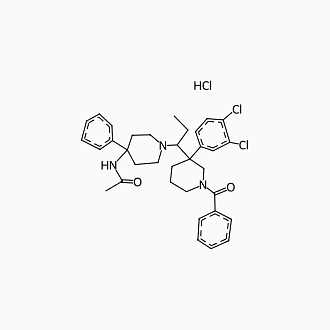 CCC(N1CCC(NC(C)=O)(c2ccccc2)CC1)C1(c2ccc(Cl)c(Cl)c2)CCCN(C(=O)c2ccccc2)C1.Cl